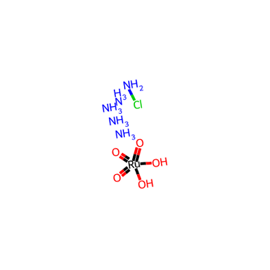 N.N.N.N.NCl.[O]=[Ru](=[O])(=[O])([OH])[OH]